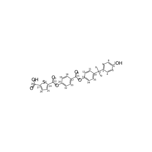 CC(C)(c1ccc(O)cc1)c1ccc(OC(=O)c2ccc(OC(=O)c3ccc(C(=O)O)s3)cc2)cc1